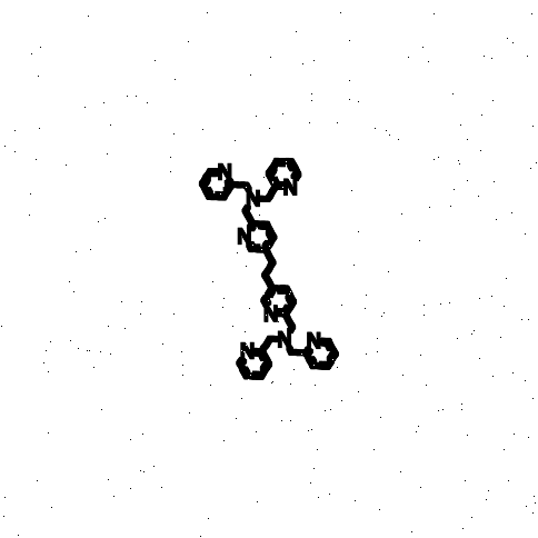 c1ccc(CN(Cc2ccccn2)Cc2ccc(CCc3ccc(CN(Cc4ccccn4)Cc4ccccn4)nc3)cn2)nc1